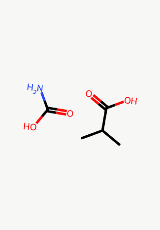 CC(C)C(=O)O.NC(=O)O